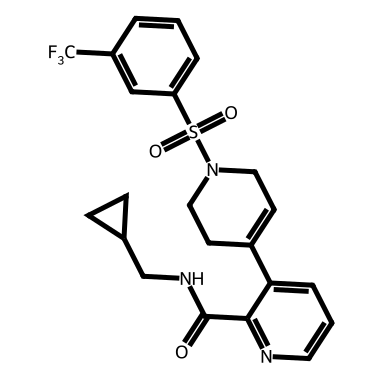 O=C(NCC1CC1)c1ncccc1C1=CCN(S(=O)(=O)c2cccc(C(F)(F)F)c2)CC1